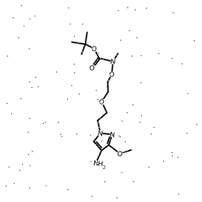 COc1nn(CCOCCON(C)C(=O)OC(C)(C)C)cc1N